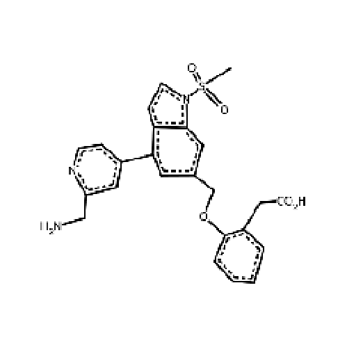 CS(=O)(=O)n1ccc2c(-c3ccnc(CN)c3)cc(COc3ccccc3CC(=O)O)cc21